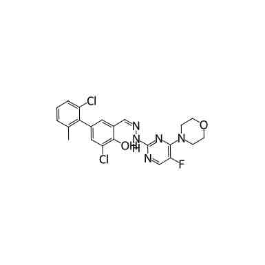 Cc1cccc(Cl)c1-c1cc(Cl)c(O)c(/C=N\Nc2ncc(F)c(N3CCOCC3)n2)c1